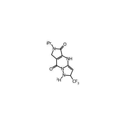 [2H]N1C(C(F)(F)F)C=C2NC3=C(CN(C(C)C)C3=O)C(=O)N21